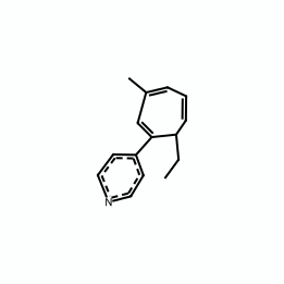 CCC1C=CC=C(C)C=C1c1ccncc1